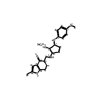 CSc1ccc(OC2CCC(NCC3CCc4sc(C)cc4C3=O)C2O)cc1.Cl